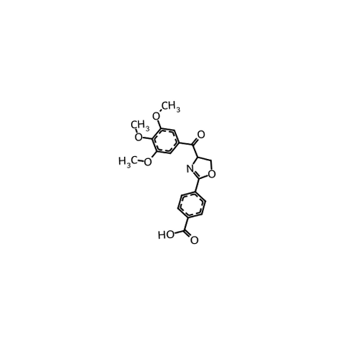 COc1cc(C(=O)C2COC(c3ccc(C(=O)O)cc3)=N2)cc(OC)c1OC